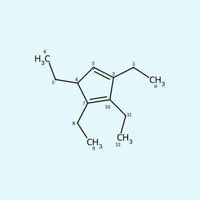 CCC1=[C]C(CC)C(CC)=C1CC